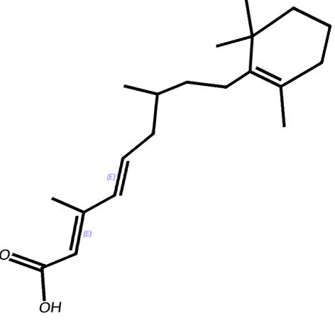 CC1=C(CCC(C)C/C=C/C(C)=C/C(=O)O)C(C)(C)CCC1